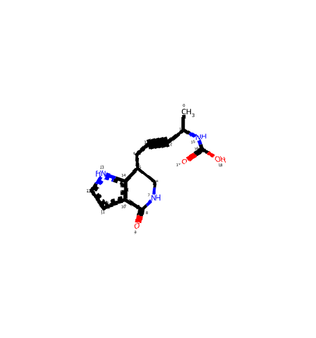 CC(C#CCC1CNC(=O)c2cc[nH]c21)NC(=O)O